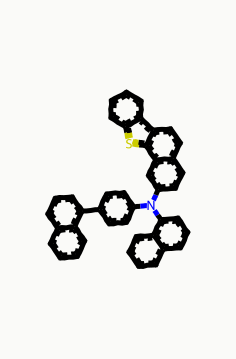 c1ccc2c(-c3ccc(N(c4ccc5ccc6c7ccccc7sc6c5c4)c4cccc5ccccc45)cc3)cccc2c1